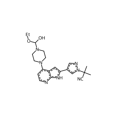 CCOC(O)N1CCN(c2ccnc3[nH]c(-c4cnn(C(C)(C)C#N)c4)cc23)CC1